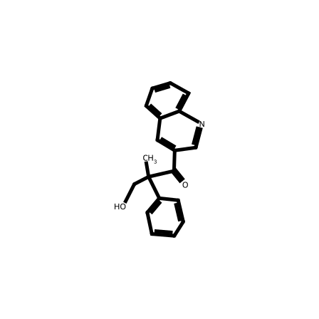 CC(CO)(C(=O)c1cnc2ccccc2c1)c1ccccc1